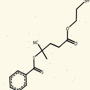 CC(C#N)(CCC(=O)OCCS)SC(=S)c1ccccc1